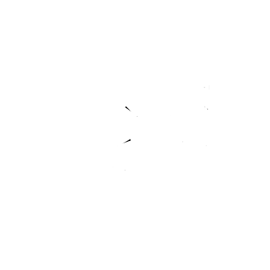 C/C(=N/O)C1=CC[C@H]2[C@@H]3CC=C4CCCC[C@]4(C)[C@@]3(O)CC[C@]12C